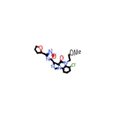 COCCn1c(=O)c2c(-c3nc(C4CCCO4)no3)ncn2c2cccc(Cl)c21